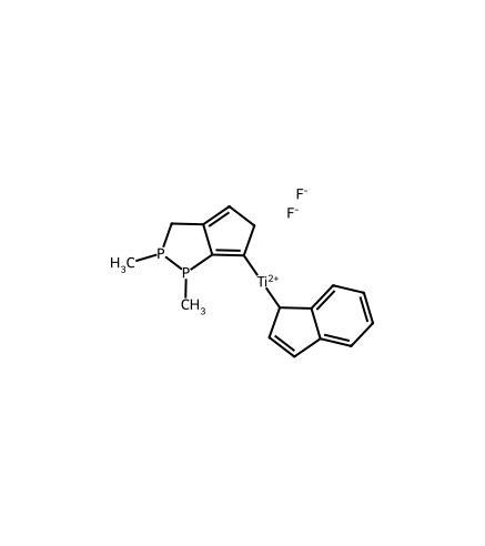 CP1CC2=CC[C]([Ti+2][CH]3C=Cc4ccccc43)=C2P1C.[F-].[F-]